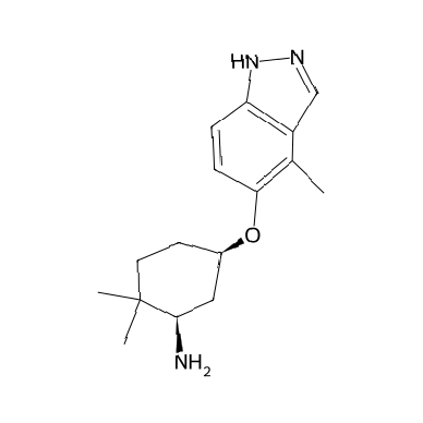 Cc1c(O[C@@H]2CCC(C)(C)[C@H](N)C2)ccc2[nH]ncc12